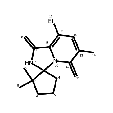 C=C1NC2(CCCC2(C)C)N2C(=C)C(C)=CC(CC)=C12